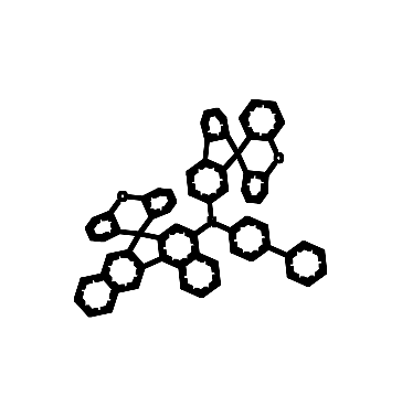 c1ccc(-c2ccc(N(c3ccc4c(c3)C3(c5ccccc5Oc5ccccc53)c3ccccc3-4)c3cc4c(c5ccccc35)-c3cc5ccccc5cc3C43c4ccccc4Oc4ccccc43)cc2)cc1